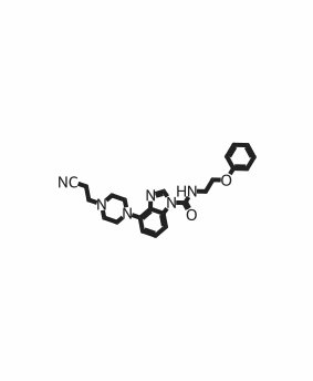 N#CCCN1CCN(c2cccc3c2ncn3C(=O)NCCOc2ccccc2)CC1